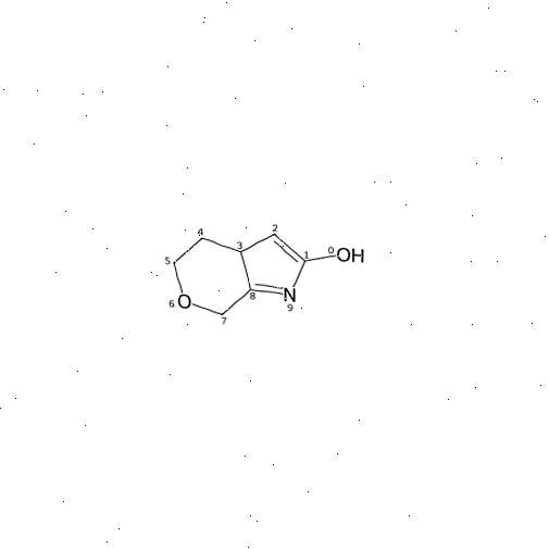 OC1=CC2CCOCC2=N1